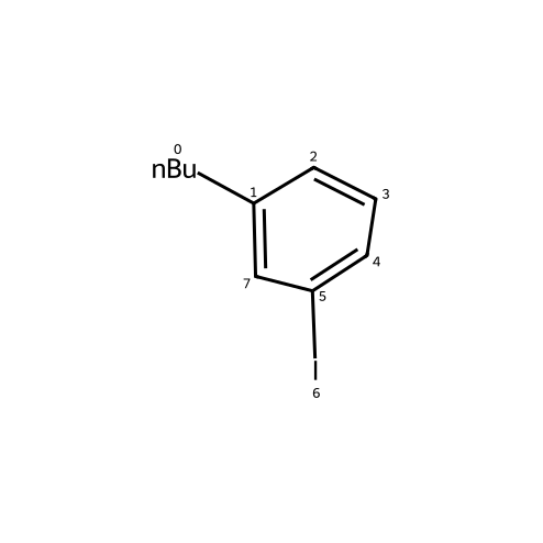 [CH2]CCCc1cccc(I)c1